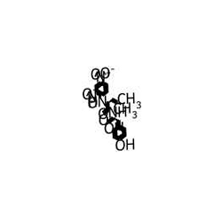 CC(C)C[C@H](Nc1ccc([N+](=O)[O-])cc1[N+](=O)[O-])C(=O)N[C@@H](Cc1ccc(O)cc1)C(=O)O